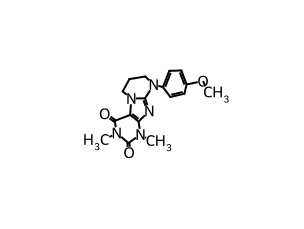 COc1ccc(N2CCCn3c2nc2c3c(=O)n(C)c(=O)n2C)cc1